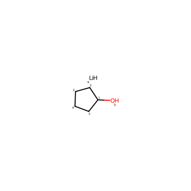 OC1CCCC1.[LiH]